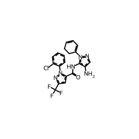 Nc1cnn(C2=CC=CCC2)c1NC(=O)c1cc(C(F)(F)F)nn1-c1ccccc1Cl